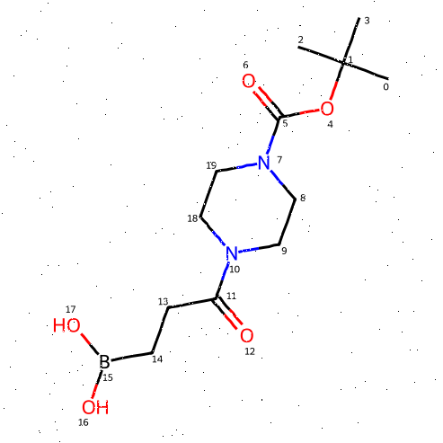 CC(C)(C)OC(=O)N1CCN(C(=O)CCB(O)O)CC1